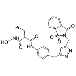 CC(C)CC(C(=O)NO)C(=O)Nc1ccc(Cn2cc(CN3C(=O)c4ccccc4S3(=O)=O)nn2)cc1